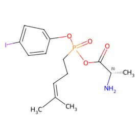 CC(C)=CCCP(=O)(OC(=O)[C@H](C)N)Oc1ccc(I)cc1